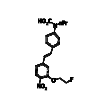 CCCN(C(=O)O)c1ccc(C=Cc2ccc([N+](=O)[O-])c(OCCF)c2)cc1